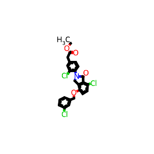 CCOC(=O)Cc1ccc(N2Cc3c(OCc4cccc(Cl)c4)ccc(Cl)c3C2=O)c(Cl)c1